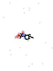 CCCCc1c(CC)cc2c(nccc(F)c1C)-c1cc3c(c(=O)n1C2)COC(=O)[C@]3(O)CC